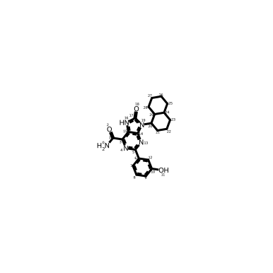 NC(=O)c1nc(-c2cccc(O)c2)nc2c1[nH]c(=O)n2C1CCCC2CCCCC21